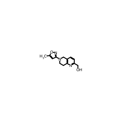 Cc1cc(N2CCc3nc(CO)ccc3C2)no1